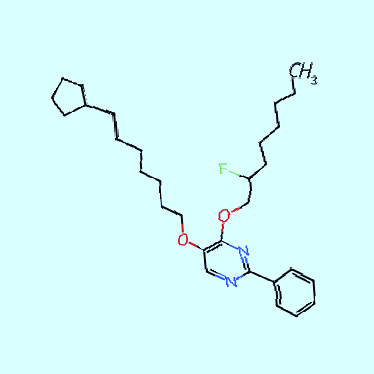 CCCCCCC(F)COc1nc(-c2ccccc2)ncc1OCCCCCCCC1CCCC1